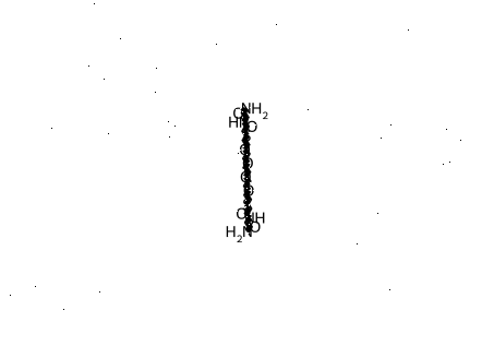 NC(=O)CNC(=O)CSCCOCCOCCOCCOCCSCC(=O)NCC(N)=O